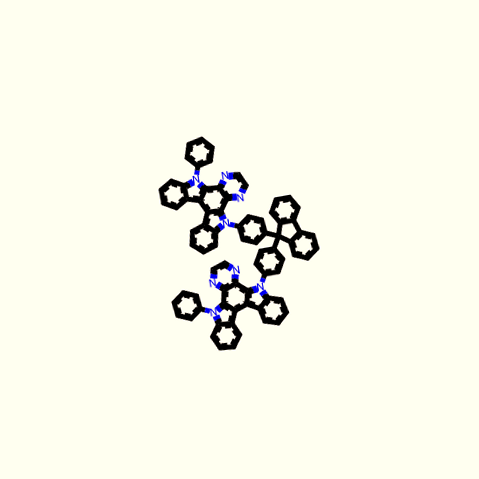 c1ccc(-n2c3ccccc3c3c4c5ccccc5n(-c5ccc(C6(c7ccc(-n8c9ccccc9c9c%10c%11ccccc%11n(-c%11ccccc%11)c%10c%10nccnc%10c98)cc7)c7ccccc7-c7ccccc76)cc5)c4c4nccnc4c32)cc1